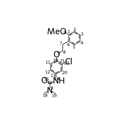 COc1ccccc1CCOc1ccc(NC(=O)N(C)C)cc1Cl